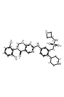 O=C1c2cnc(Nc3ccc(C4CCNCC4)c(CS(=O)(=O)NC4COC4)c3)nc2OCN1c1c(Cl)cccc1Cl